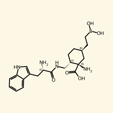 N[C@@H](Cc1c[nH]c2ccccc12)C(=O)NC[C@@H]1CC[C@@H](CCB(O)O)C[C@]1(N)C(=O)O